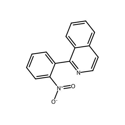 O=[N+]([O-])c1ccccc1-c1nccc2ccccc12